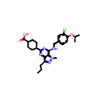 CCCc1nn(C)c2c(NCc3ccc(OC(C)C)c(Cl)c3)nc(C3CCC(C(=O)O)CC3)nc12